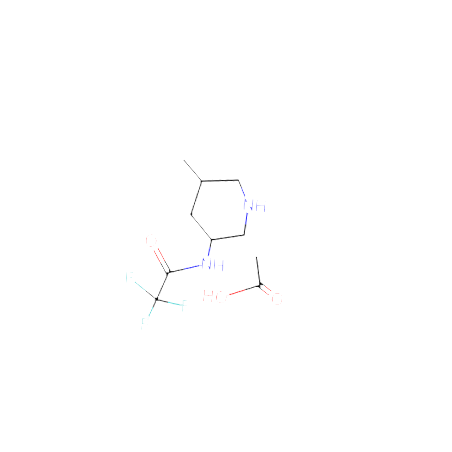 CC(=O)O.CC1CNCC(NC(=O)C(F)(F)F)C1